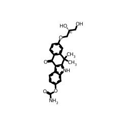 CC1(C)c2cc(OC[C@H](O)CO)ccc2C(=O)c2c1[nH]c1cc(OC(N)=O)ccc21